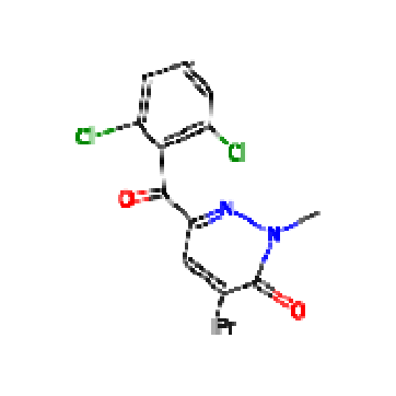 CC(C)c1cc(C(=O)c2c(Cl)c[c]cc2Cl)nn(C)c1=O